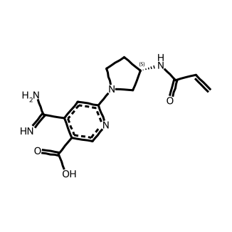 C=CC(=O)N[C@H]1CCN(c2cc(C(=N)N)c(C(=O)O)cn2)C1